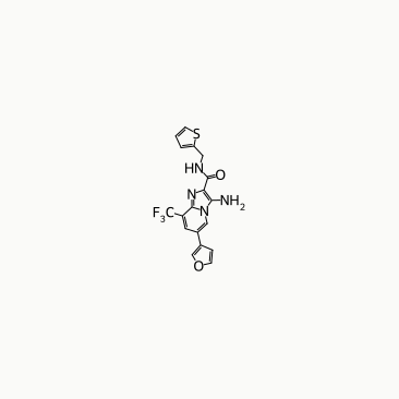 Nc1c(C(=O)NCc2cccs2)nc2c(C(F)(F)F)cc(-c3ccoc3)cn12